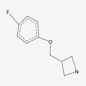 Fc1ccc(OCC2C[N]C2)cc1